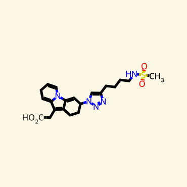 CS(=O)(=O)NCCCCc1cn(C2C=c3c(c(CC(=O)O)c4n3C=CCC=4)CC2)nn1